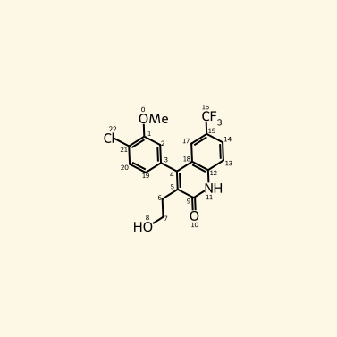 COc1cc(-c2c(CCO)c(=O)[nH]c3ccc(C(F)(F)F)cc23)ccc1Cl